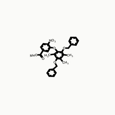 COC(=O)c1ccc([N+](=O)[O-])c(Oc2c(C)c(OCc3ccccc3)c(C)c(C)c2OCc2ccccc2)c1